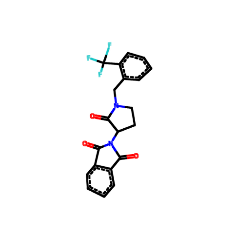 O=C1C(N2C(=O)c3ccccc3C2=O)CCN1Cc1ccccc1C(F)(F)F